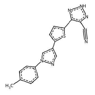 Cc1ccc(-n2cc(-c3ccc(-c4n[nH]nc4C#N)s3)cn2)cc1